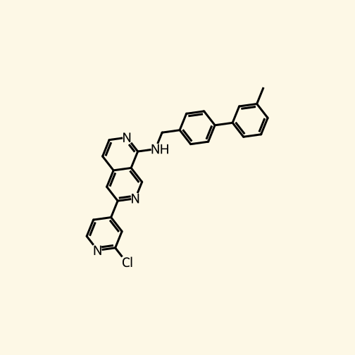 Cc1cccc(-c2ccc(CNc3nccc4cc(-c5ccnc(Cl)c5)ncc34)cc2)c1